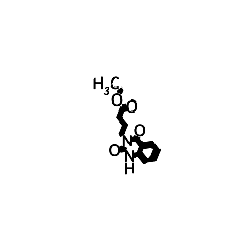 CCOC(=O)CCCn1c(=O)[nH]c2ccccc2c1=O